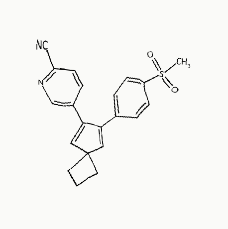 CS(=O)(=O)c1ccc(C2=CC3(C=C2c2ccc(C#N)nc2)CCC3)cc1